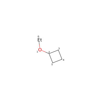 [CH2]COC1CCC1